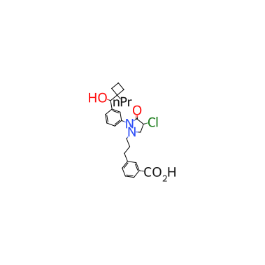 CCCC1(C(O)c2cccc(N3C(=O)C(Cl)CN3CCCc3cccc(C(=O)O)c3)c2)CCC1